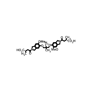 COc1cc2c(cc1OCC(C)(C)COc1cc3c(cc1OC)CN(C(=O)C[C@H](C)C(=O)O)C3)CN(C(=O)C[C@H](C)C(=O)O)C2